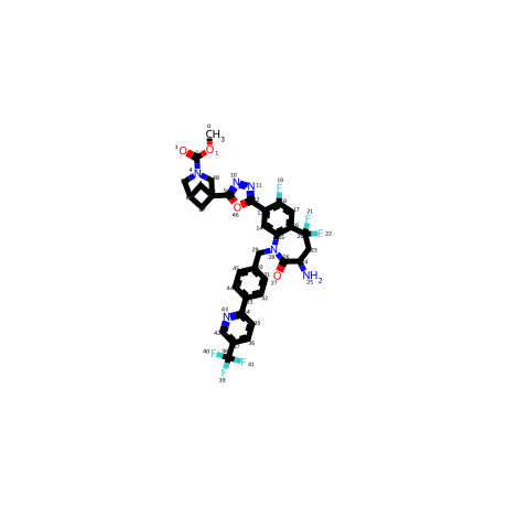 COC(=O)N1CC2CC(c3nnc(-c4cc5c(cc4F)C(F)(F)CC(N)C(=O)N5Cc4ccc(-c5ccc(C(F)(F)F)cn5)cc4)o3)(C2)C1